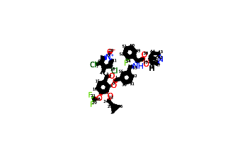 O=C(O[C@@H](Cc1c(Cl)c[n+]([O-])cc1Cl)c1ccc(OC(F)F)c(OCC2CC2)c1)c1cccc(CNC(C(=O)O[C@H]2CN3CCC2CC3)c2ccccc2F)c1